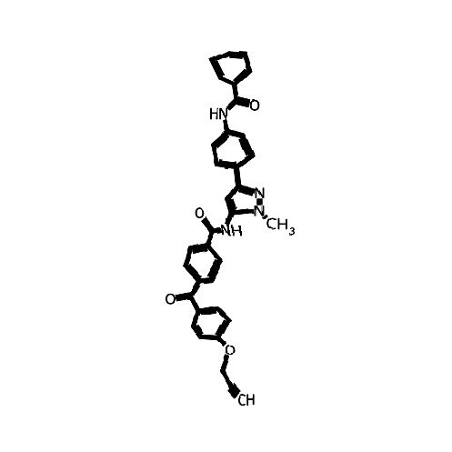 C#CCOc1ccc(C(=O)c2ccc(C(=O)Nc3cc(-c4ccc(NC(=O)c5ccccc5)cc4)nn3C)cc2)cc1